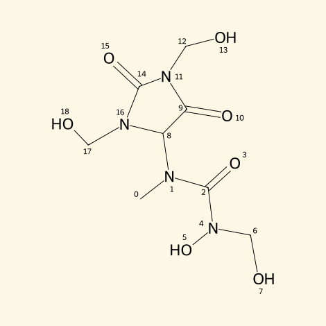 CN(C(=O)N(O)CO)C1C(=O)N(CO)C(=O)N1CO